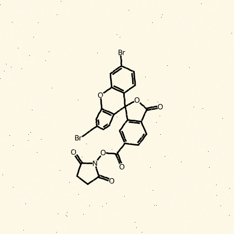 O=C(ON1C(=O)CCC1=O)c1ccc2c(c1)C1(OC2=O)c2ccc(Br)cc2Oc2cc(Br)ccc21